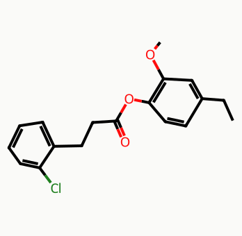 CCc1ccc(OC(=O)CCc2ccccc2Cl)c(OC)c1